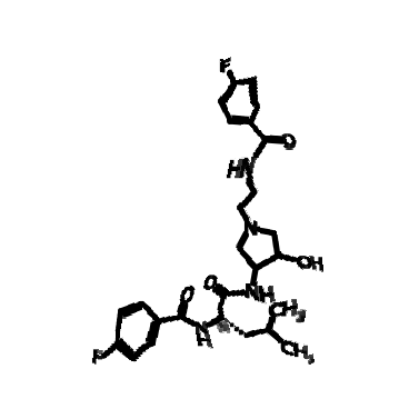 CC(C)C[C@H](NC(=O)c1ccc(F)cc1)C(=O)NC1CN(CCNC(=O)c2ccc(F)cc2)CC1O